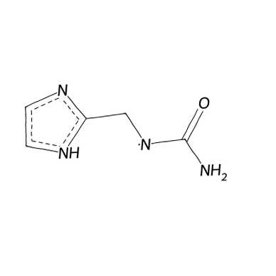 NC(=O)[N]Cc1ncc[nH]1